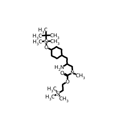 CN(CC(N)CC1CCC(O[Si](C)(C)C(C)(C)C)CC1)C(=O)OCC[Si](C)(C)C